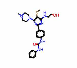 CSc1c(NCCO)nc(-c2ccc(NC(=O)Nc3ccccc3)cc2)nc1N1CCN(C)CC1